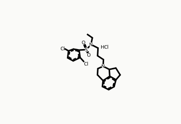 CCN(CCCN1CCc2cccc3c2C1CC3)S(=O)(=O)c1cc(Cl)ccc1Cl.Cl